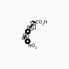 O=C(O)C1CSC(c2nc3ccc(OS(=O)(=O)c4ccc([N+](=O)[O-])cc4)cc3s2)N1